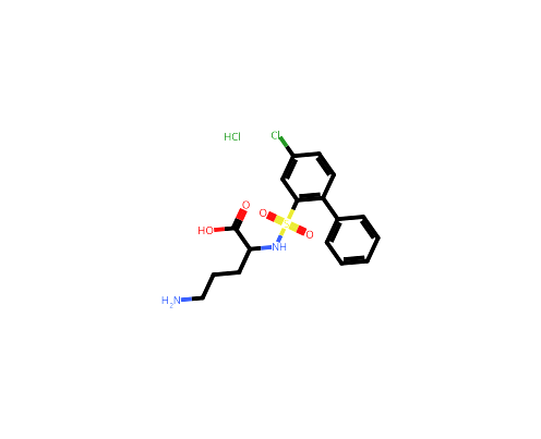 Cl.NCCCC(NS(=O)(=O)c1cc(Cl)ccc1-c1ccccc1)C(=O)O